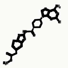 COC(=O)Cc1ccc2nc(NC(=O)[C@H]3CC[C@@H](n4cnc5c(N)nc(Cl)nc54)CC3)sc2c1